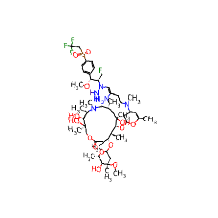 CO[C@H](c1ccc(S(=O)(=O)CC(F)(F)F)cc1)[C@@H](CF)N(/C=C(\N)CCN(C)[C@@H]1C[C@H](O[C@@H]2[C@@H](C)[C@H](O[C@H]3C[C@@](C)(OC)[C@@H](O)[C@H](C)O3)[C@@H](C)C(=O)OC[C@@](C)(O)[C@H](O)[C@@H](C)N(C)C[C@H](C)C[C@@]2(C)O)O[C@H](C)C1)NI